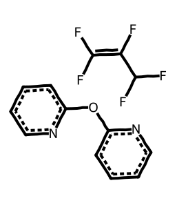 FC(F)=C(F)C(F)F.c1ccc(Oc2ccccn2)nc1